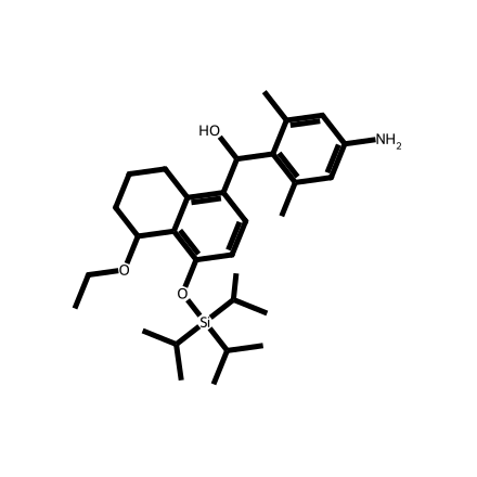 CCOC1CCCc2c(C(O)c3c(C)cc(N)cc3C)ccc(O[Si](C(C)C)(C(C)C)C(C)C)c21